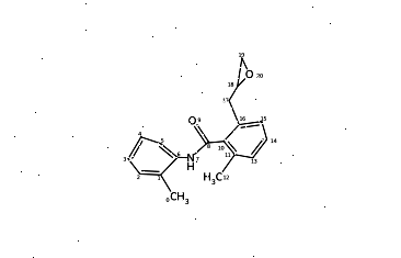 Cc1ccccc1NC(=O)c1c(C)cccc1CC1CO1